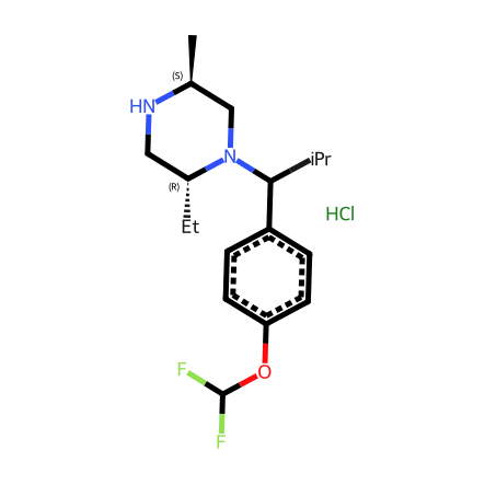 CC[C@@H]1CN[C@@H](C)CN1C(c1ccc(OC(F)F)cc1)C(C)C.Cl